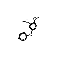 COc1ccc(Oc2[c]cccc2)cc1OC